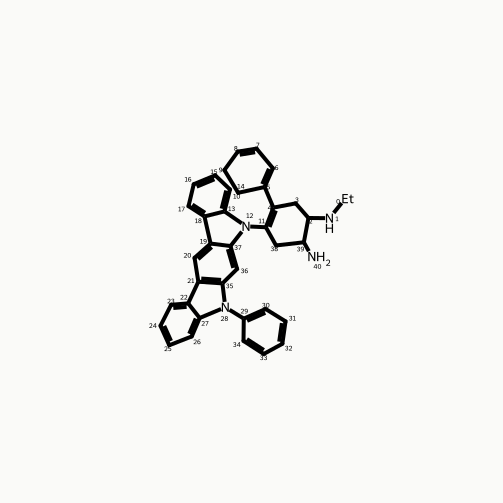 CCNC1CC(C2=CC=CCC2)=C(n2c3ccccc3c3cc4c5ccccc5n(-c5ccccc5)c4cc32)CC1N